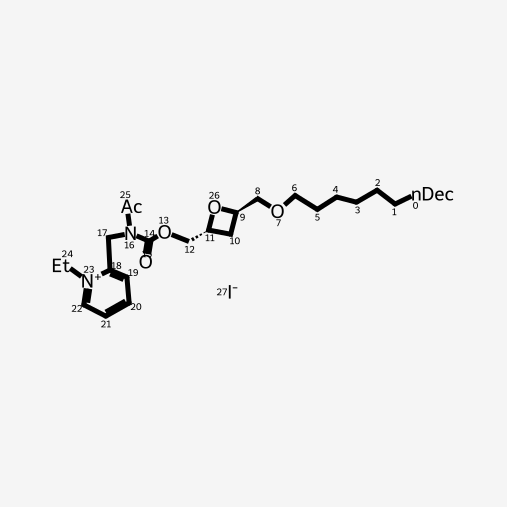 CCCCCCCCCCCCCCCCOC[C@H]1C[C@H](COC(=O)N(Cc2cccc[n+]2CC)C(C)=O)O1.[I-]